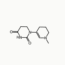 CN1C=C(N2CCC(=O)NC2=O)CCC1